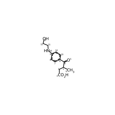 CC(CC(=O)O)C(=O)c1ccc(NCCO)cc1